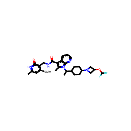 CSc1cc(C)[nH]c(=O)c1CNC(=O)c1c(C)n(C(C)C2CCC(N3CC(OC(F)F)C3)CC2)c2ncccc12